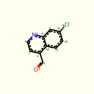 O=Cc1ccnc2cc(Cl)ccc12